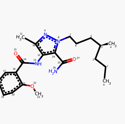 CCC[C@H](C)CCCn1nc(C)c(NC(=O)c2ccccc2OC)c1C(N)=O